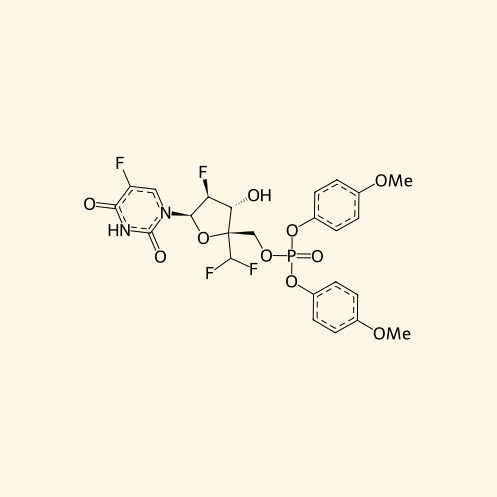 COc1ccc(OP(=O)(OC[C@@]2(C(F)F)O[C@@H](n3cc(F)c(=O)[nH]c3=O)[C@@H](F)[C@@H]2O)Oc2ccc(OC)cc2)cc1